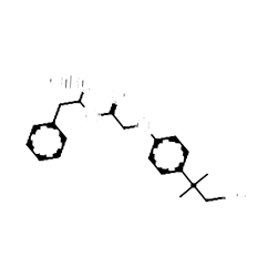 CC(C)COC(Cc1ccccc1)OC(=O)COc1ccc(C(C)(C)CC(C)C)cc1